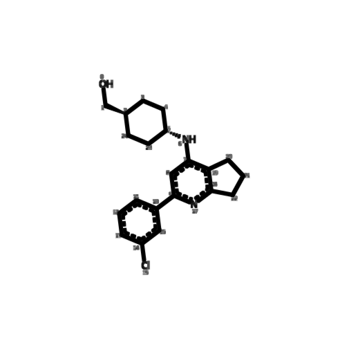 OC[C@H]1CC[C@H](Nc2cc(-c3cccc(Cl)c3)nc3c2CCC3)CC1